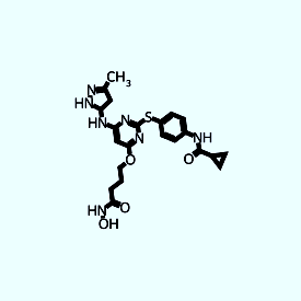 CC1=NNC(Nc2cc(OCCCC(=O)NO)nc(Sc3ccc(NC(=O)C4CC4)cc3)n2)C1